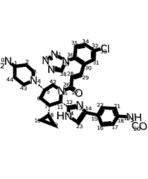 NC1CCN([C@H]2C[C@@H](C3CC3)[C@@H](c3nc(-c4ccc(NC(=O)O)cc4)c[nH]3)N(C(=O)/C=C/c3cc(Cl)ccc3-n3cnnn3)C2)CC1